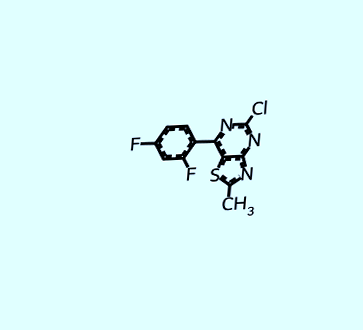 Cc1nc2nc(Cl)nc(-c3ccc(F)cc3F)c2s1